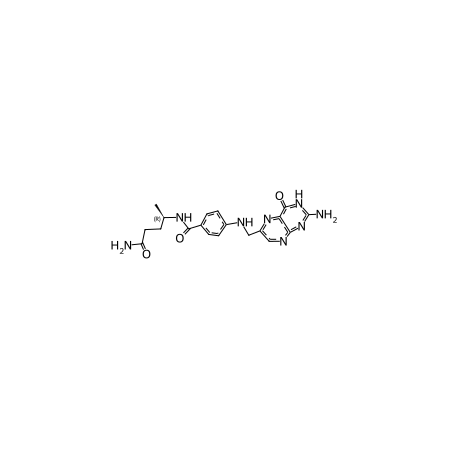 C[C@H](CCC(N)=O)NC(=O)c1ccc(NCc2cnc3nc(N)[nH]c(=O)c3n2)cc1